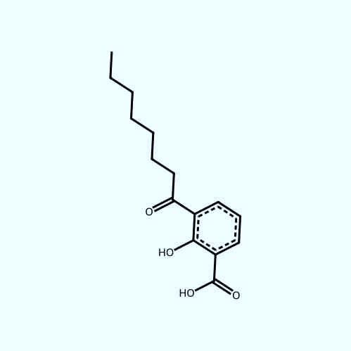 CCCCCCCC(=O)c1cccc(C(=O)O)c1O